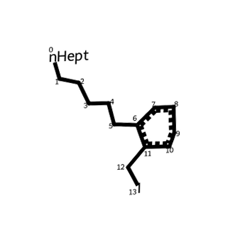 CCCCCCCCCCCCc1ccccc1CI